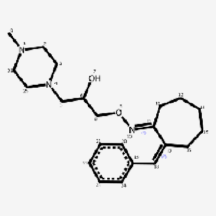 CN1CCN(CC(O)CO/N=C2\CCCCC\C2=C\c2ccccc2)CC1